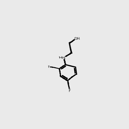 OCCNc1ccc(F)cc1F